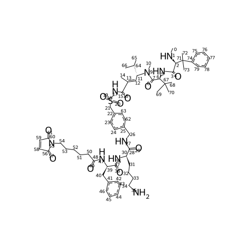 CN[C@H](C(=O)N[C@H](C(=O)N(C)[C@H](/C=C(\C)C(=O)NS(=O)(=O)Cc1ccc(CNC(=O)[C@@H](CCCCN)NC(=O)[C@@H](Cc2ccccc2)NC(=O)CCCCCN2C(=O)C=CC2=O)cc1)C(C)C)C(C)(C)C)C(C)(C)c1ccccc1